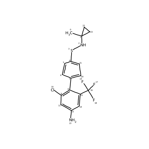 CC1(NSc2ccc(-c3c(Cl)cc(N)cc3C(F)(F)F)cc2)CC1